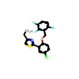 O=C(O)Cc1csc(-c2cc(Cl)ccc2OCc2c(F)ccc(F)c2F)n1